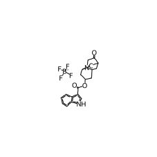 F[B-](F)(F)F.O=C(OC1CC2CC3CC(C1)N2CC3=O)c1c[nH]c2ccccc12